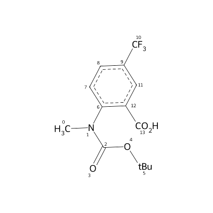 CN(C(=O)OC(C)(C)C)c1ccc(C(F)(F)F)cc1C(=O)O